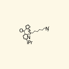 CC(C)c1ccc(C(=O)c2cccs2)c(SCCCCCCN(C)C)n1